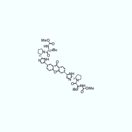 CC[C@H](C)[C@H](NC(=O)OC)C(=O)N1CCC[C@H]1c1ncc(-c2ccc3c(=O)c4cc(-c5cnc([C@@H]6CCCN6C(=O)[C@@H](NC(=O)OC)[C@@H](C)CC)[nH]5)ccc4oc3c2)[nH]1